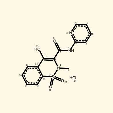 CN1C(C(=O)Nc2ccccn2)=C(O)c2ccccc2S1(=O)=O.Cl